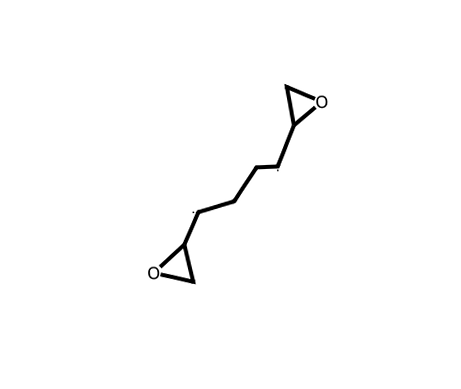 [CH](CC[CH]C1CO1)C1CO1